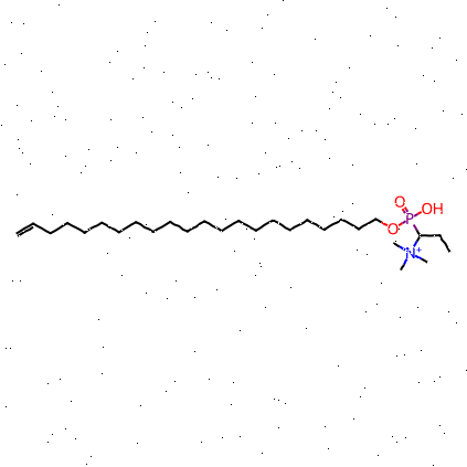 C=CCCCCCCCCCCCCCCCCCCCCOP(=O)(O)C(CC)[N+](C)(C)C